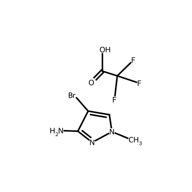 Cn1cc(Br)c(N)n1.O=C(O)C(F)(F)F